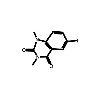 Cn1c(=O)c2cc(I)ccc2n(C)c1=O